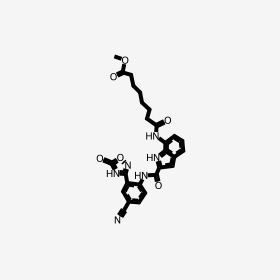 COC(=O)CCCCCCC(=O)Nc1cccc2cc(C(=O)Nc3ccc(C#N)cc3-c3noc(=O)[nH]3)[nH]c12